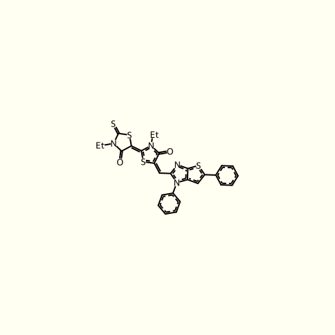 CCN1C(=O)/C(=c2\s/c(=C/c3nc4sc(-c5ccccc5)cc4n3-c3ccccc3)c(=O)n2CC)SC1=S